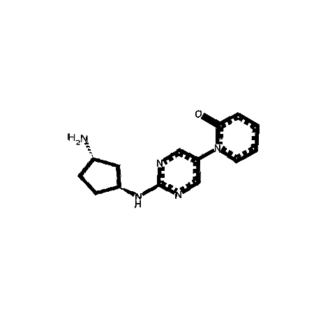 N[C@H]1CC[C@H](Nc2ncc(-n3ccccc3=O)cn2)C1